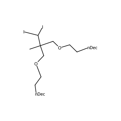 CCCCCCCCCCCCOCC(C)(COCCCCCCCCCCCC)C(I)I